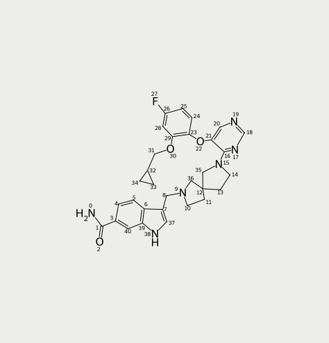 NC(=O)c1ccc2c(CN3CCC4(CCN(c5ncncc5Oc5ccc(F)cc5OCC5CC5)C4)C3)c[nH]c2c1